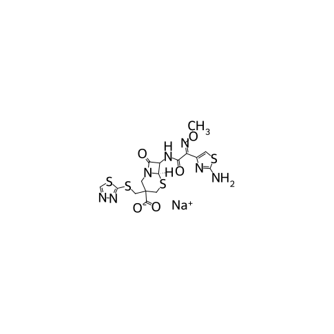 CON=C(C(=O)NC1C(=O)N2CC(CSc3nncs3)(C(=O)[O-])CS[C@H]12)c1csc(N)n1.[Na+]